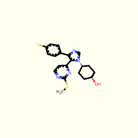 CSc1nccc(-c2c(-c3ccc(F)cc3)ncn2[C@H]2CC[C@H](O)CC2)n1